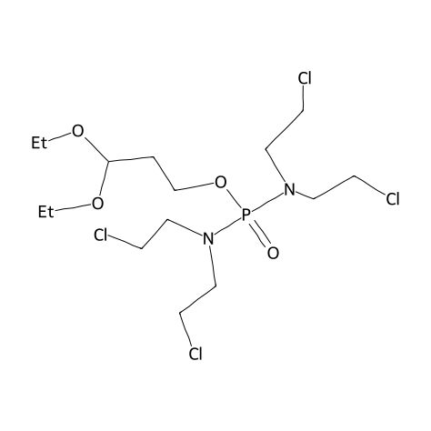 CCOC(CCOP(=O)(N(CCCl)CCCl)N(CCCl)CCCl)OCC